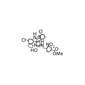 COC(=O)c1ccc(CN[C@@H]2[C@H](CO)N(C3CCCC3)[C@@]3(C(=O)Nc4cc(Cl)ccc43)[C@H]2c2cccc(Cl)c2)c([N+](=O)[O-])c1